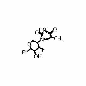 CCC1OCC(n2cc(C)c(=O)[nH]c2=O)C(F)C1O